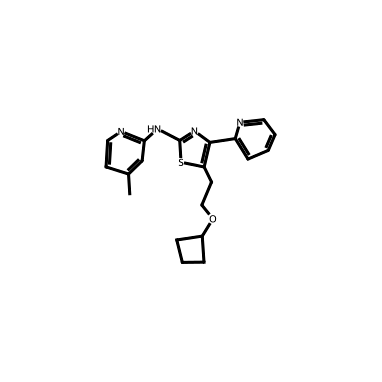 Cc1ccnc(Nc2nc(-c3ccccn3)c(CCOC3CCC3)s2)c1